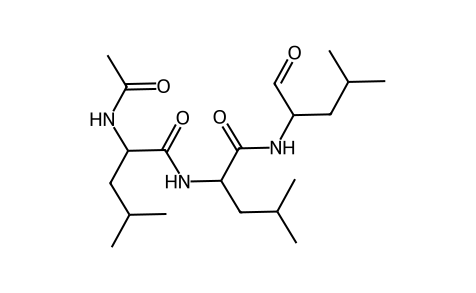 CC(=O)NC(CC(C)C)C(=O)NC(CC(C)C)C(=O)NC(C=O)CC(C)C